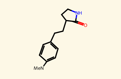 CNc1ccc(CCC2CCNC2=O)cc1